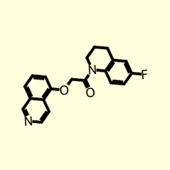 O=C(COc1cccc2cnccc12)N1CCCc2cc(F)ccc21